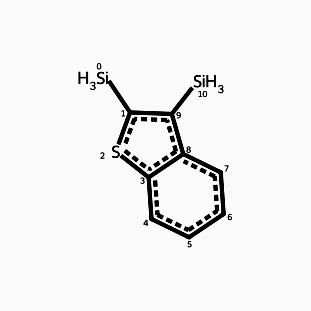 [SiH3]c1sc2ccccc2c1[SiH3]